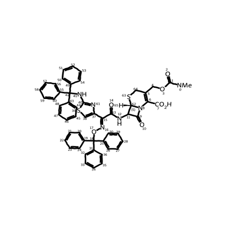 CNC(=O)OCC1=C(C(=O)O)N2C(=O)C(NC(=O)C(=NOC(c3ccccc3)(c3ccccc3)c3ccccc3)c3csc(NC(c4ccccc4)(c4ccccc4)c4ccccc4)n3)[C@@H]2SC1